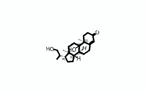 CC(CO)[C@H]1CC[C@H]2[C@@H]3CCC4=CC(=O)CC[C@]4(C)[C@@]3(O)CC[C@]12C